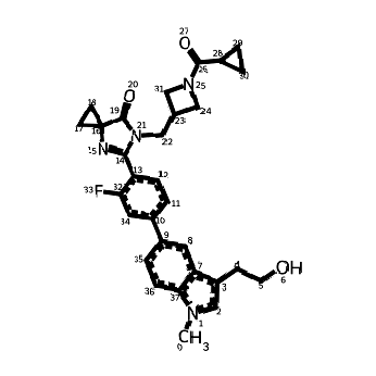 Cn1cc(CCO)c2cc(-c3ccc(C4=NC5(CC5)C(=O)N4CC4CN(C(=O)C5CC5)C4)c(F)c3)ccc21